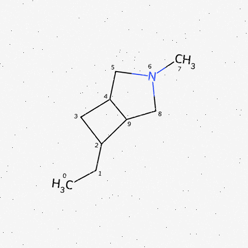 CCC1CC2CN(C)CC12